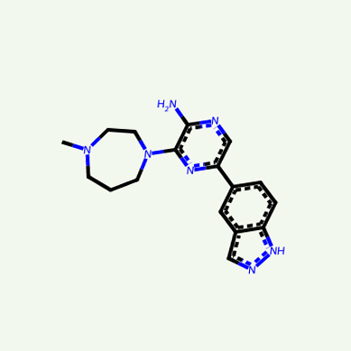 CN1CCCN(c2nc(-c3ccc4[nH]ncc4c3)cnc2N)CC1